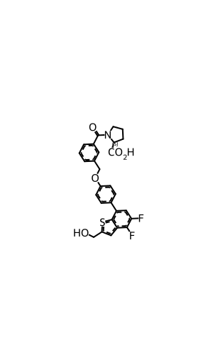 O=C(O)[C@@H]1CCCN1C(=O)c1cccc(COc2ccc(-c3cc(F)c(F)c4cc(CO)sc34)cc2)c1